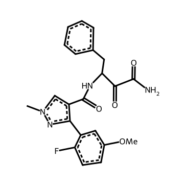 COc1ccc(F)c(-c2nn(C)cc2C(=O)NC(Cc2ccccc2)C(=O)C(N)=O)c1